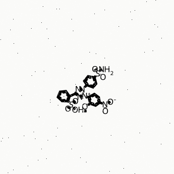 COc1cc([N+](=O)[O-])ccc1-[n+]1nc(-c2ccccc2S(=O)(=O)O)nn1-c1ccc(S(N)(=O)=O)cc1